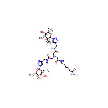 CCNC(=O)CCCCCNC(=O)CN(CC(=O)NCc1cn([C@H]2O[C@@H](C)[C@@H](O)[C@@H](O)[C@@H]2C)nn1)CC(=O)NCc1cn([C@H]2O[C@@H](C)[C@@H](O)[C@@H](O)[C@@H]2C)nn1